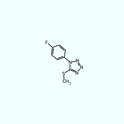 CSc1nnnn1-c1ccc(F)cc1